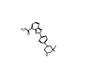 NC(=O)c1cccc2cn(-c3ccc([C@@H]4CNCC(F)(F)C4)cc3)nc12